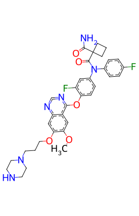 COc1cc2c(Oc3ccc(N(C(=O)C4(C(N)=O)CCC4)c4ccc(F)cc4)cc3F)ncnc2cc1OCCCN1CCNCC1